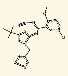 COc1ccc(Cl)cc1C(=NC#N)/N=c1\sc(C(C)(C)C)cn1Cc1cscn1